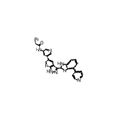 CC(C)CC(=O)Nc1cncc(-c2cnc3[nH]nc(-c4nc5c(-c6ccncc6)cccc5[nH]4)c3c2)c1